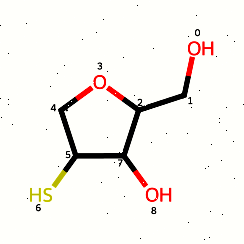 OCC1O[CH]C(S)C1O